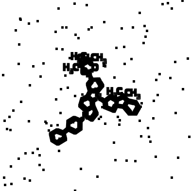 CC1(C)c2ccccc2-c2ccc(-n3c4ccc(B5OC(C)(C)C(C)(C)O5)cc4c4ccc5c(ccn5-c5ccc(-c6ccccc6)cc5)c43)cc21